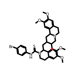 CCC1CN2CCc3cc(OC)c(OC)cc3C2CC1CC1c2cc(OC)c(OC)cc2CCN1C(=S)Nc1ccc(Br)cc1